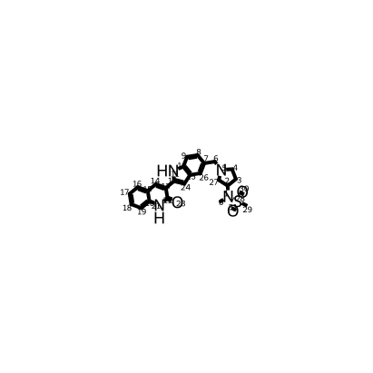 CN(C1CCN(Cc2ccc3[nH]c(-c4cc5ccccc5[nH]c4=O)cc3c2)C1)S(C)(=O)=O